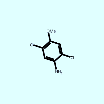 COc1cc(Cl)c(N)cc1Cl